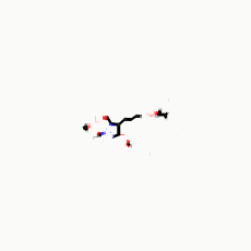 C=C(OC(C)(C)C)N1C[C@H](OC(C)=O)C(CCCBOC(C)(C)C(C)C)C1C=O